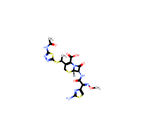 CON=C(C(=O)N[C@@H]1C(=O)N2C(C(=O)O)=C(C(C)Sc3nnc(NC(C)=O)s3)CS[C@@H]12)c1csc(N)n1